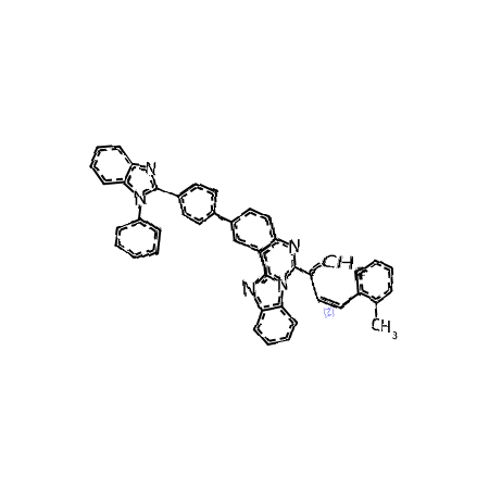 C=C(/C=C\c1ccccc1C)c1nc2ccc(-c3ccc(-c4nc5ccccc5n4-c4ccccc4)cc3)cc2c2nc3ccccc3n12